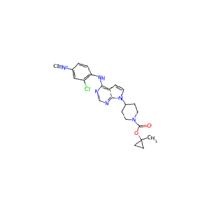 [C-]#[N+]c1ccc(Nc2ncnc3c2ccn3C2CCN(C(=O)OC3(C)CC3)CC2)c(Cl)c1